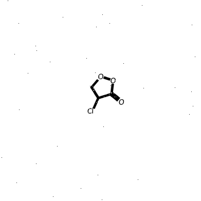 O=C1OOCC1Cl